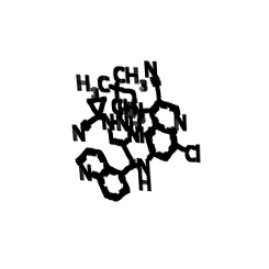 CC(C)(C)CNc1c(C#N)cnc2c(Cl)cc(N[C@H](C3=CN(C4(C#N)CC4)NN3)c3cccc4ncccc34)cc12